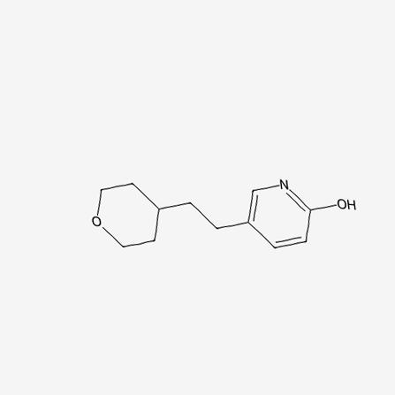 Oc1ccc(CCC2CCOCC2)cn1